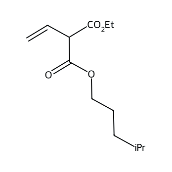 C=CC(C(=O)OCC)C(=O)OCCCC(C)C